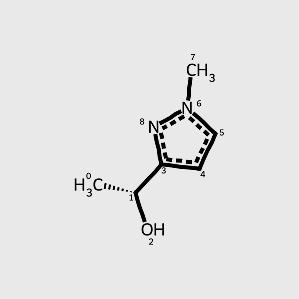 C[C@@H](O)c1ccn(C)n1